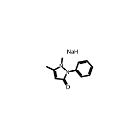 Cc1cc(=O)n(-c2ccccc2)n1C.[NaH]